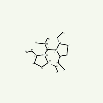 CC[C@@H]1CC[C@@H](CC)P1B(N(C)C)P1[C@H](CC)CC[C@H]1CC